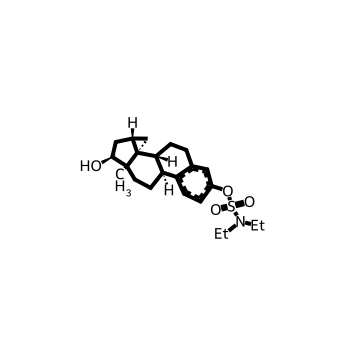 CCN(CC)S(=O)(=O)Oc1ccc2c(c1)CC[C@@H]1[C@@H]2CC[C@]2(C)[C@@H](O)C[C@@H]3C[C@]312